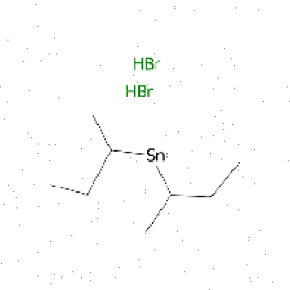 Br.Br.CC[CH](C)[Sn][CH](C)CC